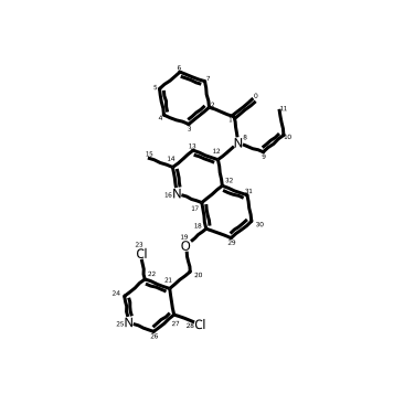 C=C(c1ccccc1)N(/C=C\C)c1cc(C)nc2c(OCc3c(Cl)cncc3Cl)cccc12